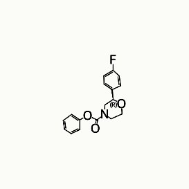 O=C(Oc1ccccc1)N1CCO[C@H](c2ccc(F)cc2)C1